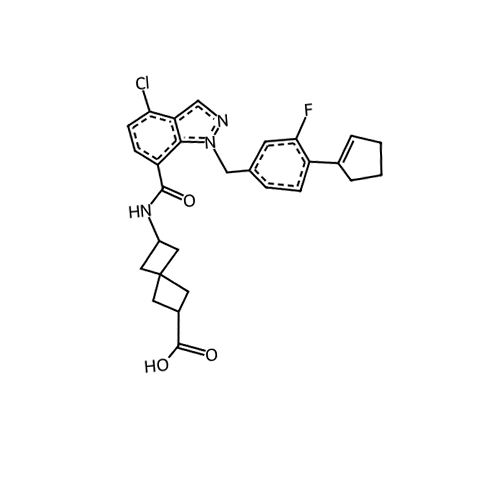 O=C(NC1CC2(C1)CC(C(=O)O)C2)c1ccc(Cl)c2cnn(Cc3ccc(C4=CCCC4)c(F)c3)c12